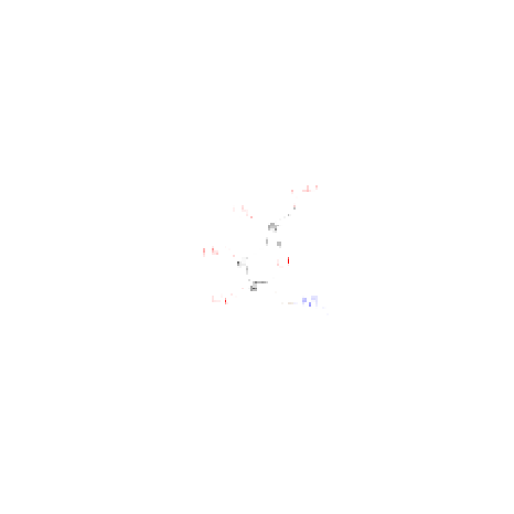 NSC1O[C@@H]([C@H](O)CO)[C@H](O)[C@H]1O